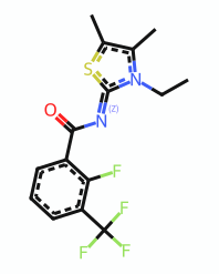 CCn1c(C)c(C)s/c1=N\C(=O)c1cccc(C(F)(F)F)c1F